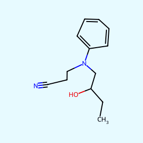 CCC(O)CN(CCC#N)c1ccccc1